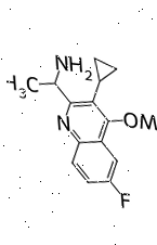 COc1c(C2CC2)c(C(C)N)nc2ccc(F)cc12